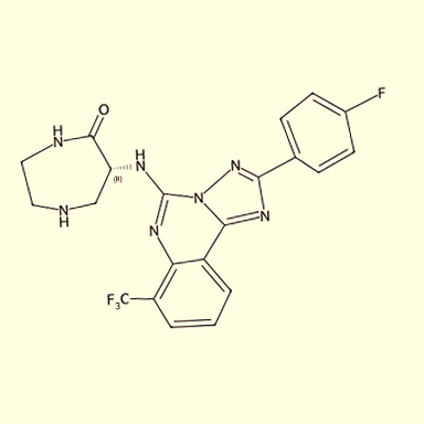 O=C1NCCNC[C@H]1Nc1nc2c(C(F)(F)F)cccc2c2nc(-c3ccc(F)cc3)nn12